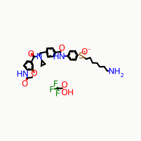 NCCCCCCC[S+]([O-])c1ccc(NC(=O)c2ccc(CN(C(=O)c3ccc4c(c3)OCC(=O)N4)C3CC3)cc2)cc1.O=C(O)C(F)(F)F